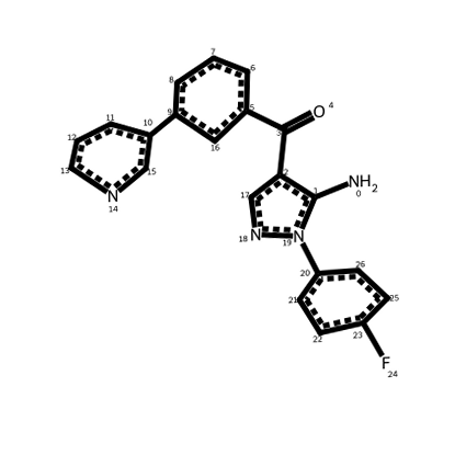 Nc1c(C(=O)c2cccc(-c3cccnc3)c2)cnn1-c1ccc(F)cc1